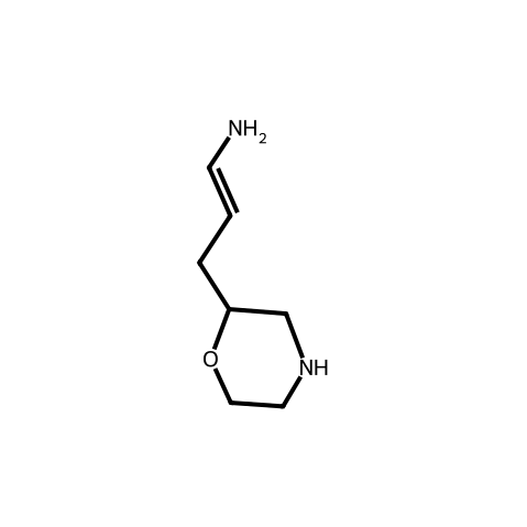 NC=CCC1CNCCO1